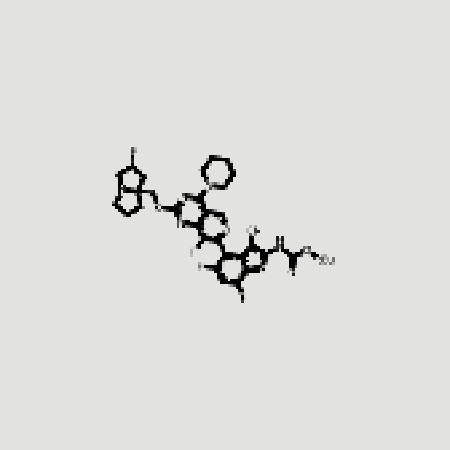 CC(C)(C)OC(=O)Nc1sc2c(F)cc(F)c(-c3ncc4c(N5CCCCC5)nc(OC[C@@]56CCCN5C[C@H](F)C6)nc4c3F)c2c1C#N